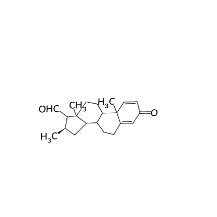 C[C@@H]1CC2C3CCC4=CC(=O)C=CC4(C)C3CCC2(C)C1C=O